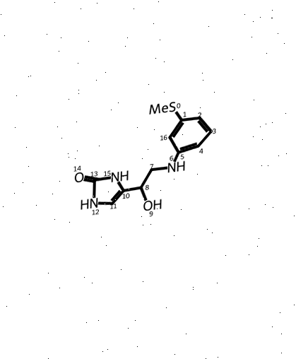 CSc1cccc(NCC(O)c2c[nH]c(=O)[nH]2)c1